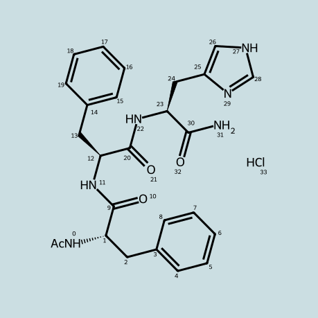 CC(=O)N[C@@H](Cc1ccccc1)C(=O)N[C@@H](Cc1ccccc1)C(=O)N[C@@H](Cc1c[nH]cn1)C(N)=O.Cl